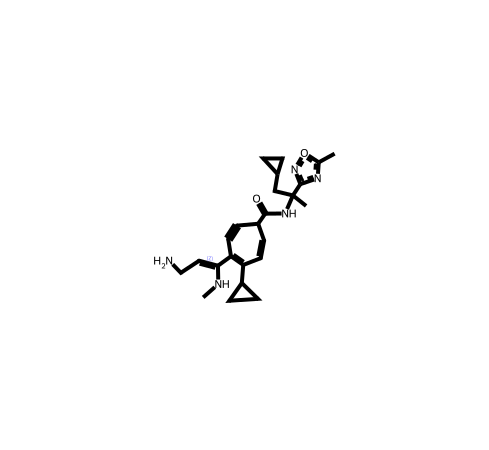 CN/C(=C\CN)C1=C(C2CC2)C=CC(C(=O)NC(C)(CC2CC2)c2noc(C)n2)C#C1